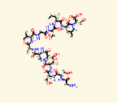 CC[C@H](C)[C@H](NC(=O)[C@H](CO)NC(=O)CNC(=O)[C@@H](NC(=O)[C@H](C)NC(=O)[C@H](C)NC(=O)[C@H](CO)NC(=O)[C@@H](NC(=O)[C@H](CO)NC(=O)[C@H](CO)NC(=O)CN)[C@@H](C)O)C(C)C)C(=O)N[C@@H](CC(C)C)C(=O)N[C@@H](CO)C(=O)O